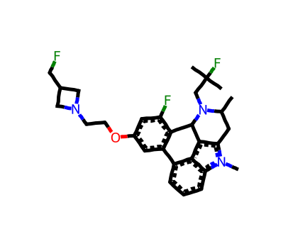 CC1Cc2c3c4c(cccc4n2C)-c2cc(OCCN4CC(CF)C4)cc(F)c2C3N1CC(C)(C)F